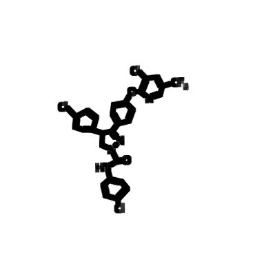 O=C(Nc1ccc(Cl)cc1)N1CC(c2ccc(Cl)cc2)C(c2ccc(Oc3ncc(C(F)(F)F)cc3Cl)cc2)=N1